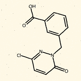 O=C(O)c1cccc(Cn2nc(Cl)ccc2=O)c1